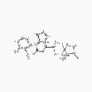 Cc1cc(N2CCC3(CC2)COC(C)C3N)n2ncnc2c1-c1cccc(Cl)c1Cl